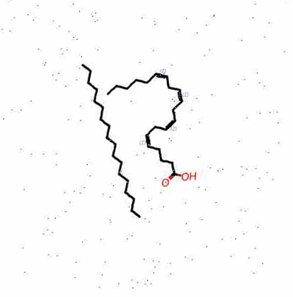 CCCCC/C=C\C/C=C\C/C=C\C/C=C\CCCC(=O)O.CCCCCCCCCCCCCCCCCC